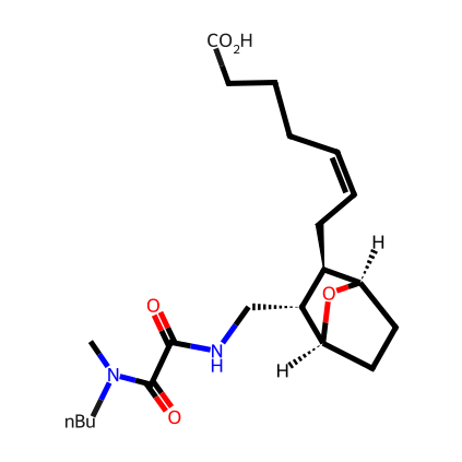 CCCCN(C)C(=O)C(=O)NC[C@@H]1[C@@H](C/C=C\CCCC(=O)O)[C@H]2CC[C@@H]1O2